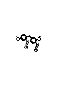 COc1ccc(Cc2ccc(N=C=O)c(OC)c2)c(N=C=O)c1